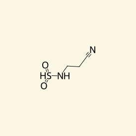 N#CCCN[SH](=O)=O